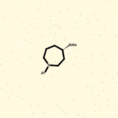 CN[C@H]1CCCN(C(C)C)CC1